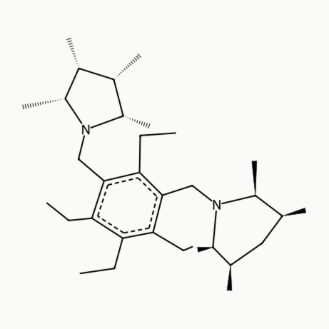 CCc1c(CC)c(CN2[C@H](C)[C@H](C)[C@H](C)[C@@H]2C)c(CC)c(CN2[C@H](C)[C@H](C)C[C@H](C)[C@@H]2C)c1CC